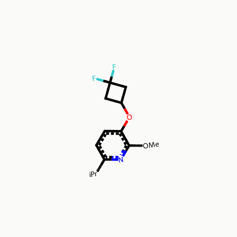 COc1nc(C(C)C)ccc1OC1CC(F)(F)C1